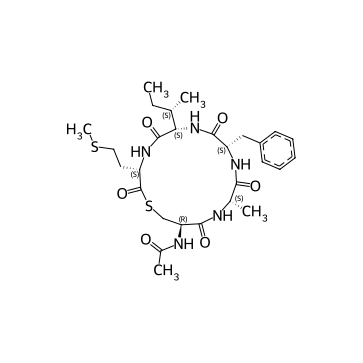 CC[C@H](C)[C@@H]1NC(=O)[C@H](Cc2ccccc2)NC(=O)[C@H](C)NC(=O)[C@@H](NC(C)=O)CSC(=O)[C@H](CCSC)NC1=O